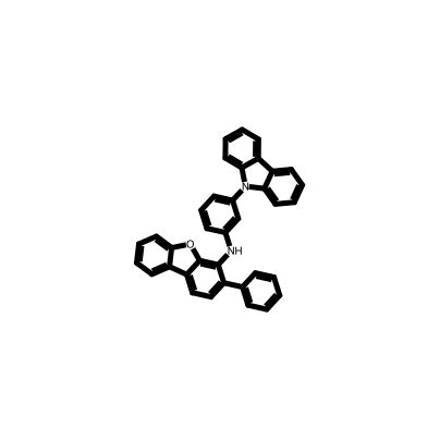 c1ccc(-c2ccc3c(oc4ccccc43)c2Nc2cccc(-n3c4ccccc4c4ccccc43)c2)cc1